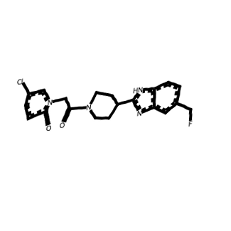 O=C(Cn1cc(Cl)ccc1=O)N1CCC(c2nc3cc(CF)ccc3[nH]2)CC1